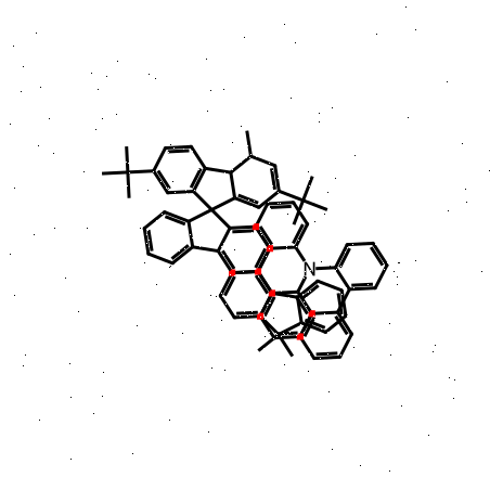 CC1C=C(C(C)(C)C)C=C2C1c1ccc(C(C)(C)C)cc1C21c2ccccc2-c2cc(-c3ccccc3N(c3ccccc3-c3ccccc3)c3ccccc3-c3cccc4c3-c3ccccc3C4(C)C)ccc21